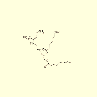 CCCCCCCCCCCCCCCC(=O)OCC(COCCNC(CCN)C(=O)O)OC(=O)CCCCCCCCCCCCCCC